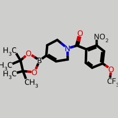 CC1(C)OB(C2=CCN(C(=O)c3ccc(OC(F)(F)F)cc3[N+](=O)[O-])CC2)OC1(C)C